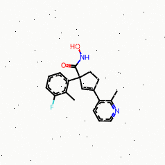 Cc1ncccc1C1=CC(C(=O)NO)(c2cccc(F)c2C)CC1